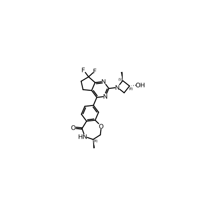 C[C@@H]1COc2cc(-c3nc(N4C[C@@H](O)[C@@H]4C)nc4c3CCC4(F)F)ccc2C(=O)N1